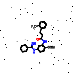 COc1ccc(NC(=N)c2ccccc2)cc1NC(=O)/C=C/c1ccccc1C(F)(F)F